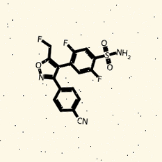 N#Cc1ccc(-c2noc(CF)c2-c2cc(F)c(S(N)(=O)=O)cc2F)cc1